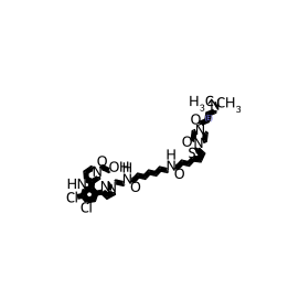 CN(C)C/C=C/C(=O)N1CCN(c2ccc(CCC(=O)NCCCCCCC(=O)NCCn3ccc(-c4cc(Cl)c(Cl)c5[nH]c6c(c45)CN(C(=O)CO)CC6)n3)s2)C(=O)C1